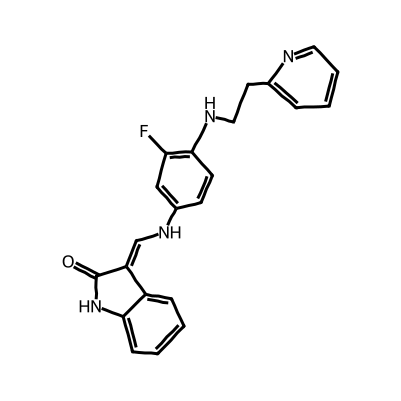 O=C1Nc2ccccc2/C1=C\Nc1ccc(NCCc2ccccn2)c(F)c1